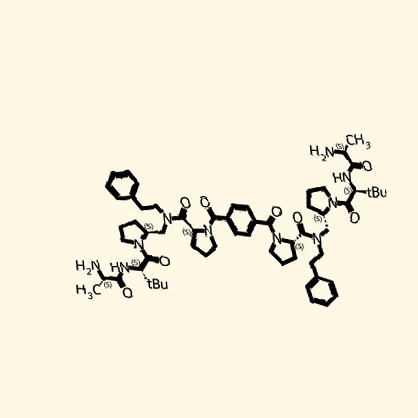 C[C@H](N)C(=O)N[C@H](C(=O)N1CCC[C@H]1CN(CCc1ccccc1)C(=O)[C@@H]1CCCN1C(=O)c1ccc(C(=O)N2CCC[C@H]2C(=O)N(CCc2ccccc2)C[C@@H]2CCCN2C(=O)[C@@H](NC(=O)[C@H](C)N)C(C)(C)C)cc1)C(C)(C)C